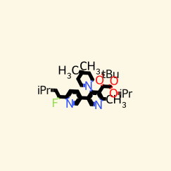 Cc1ncc(-c2ccc(C(F)CC(C)C)nc2)c(N2CCC(C)(C)CC2)c1C(OC(C)(C)C)C(=O)OC(C)C